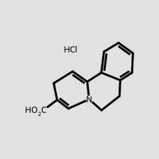 Cl.O=C(O)C1=CN2CCc3ccccc3C2=CC1